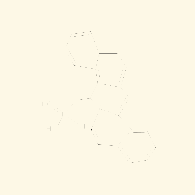 C=P(C)(C)Cc1c2ccc3ccccc3c2cc2ccc3ccccc3c12